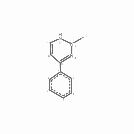 FN1N=C(c2ccccc2)C=[C]N1